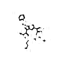 Cc1ccc(S(=O)(=O)n2cc(-c3cn(CCCC(=O)O)nc3C(F)(F)F)c3cc(-c4cn(C)nc4CN(C(=O)OC(C)(C)C)C(C)C)cnc32)cc1